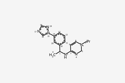 CC(NC1=NCN(C(C)C)C=C1)c1cccc(-n2cncn2)c1